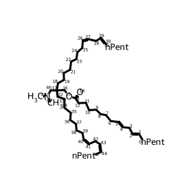 CCCCCC=CCC=CCCCCCCCC(=O)OCC(CCCCCCCC/C=C\C/C=C\CCCCC)(CCCCCCCC/C=C\C/C=C\CCCCC)CN(C)C